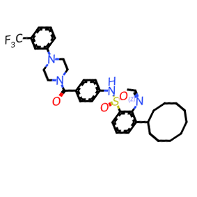 C/C=N\c1c(C2CCCCCCCCC2)cccc1S(=O)(=O)Nc1ccc(C(=O)N2CCN(c3cccc(C(F)(F)F)c3)CC2)cc1